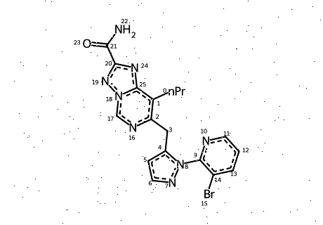 CCCc1c(Cc2ccnn2-c2ncccc2Br)ncn2nc(C(N)=O)nc12